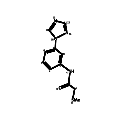 CSCC(=O)Nc1cccc(-n2[c]nnn2)c1